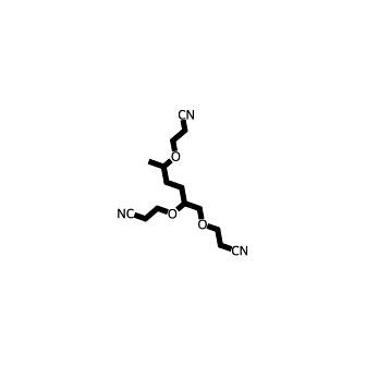 CC(CCC(COCCC#N)OCCC#N)OCCC#N